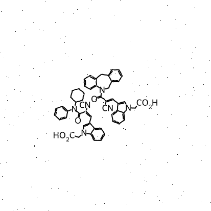 N#CC(=Cc1cn(CC(=O)O)c2ccccc12)C(=O)N(c1ccccc1)C1CCCCC1.N#CC(=Cc1cn(CC(=O)O)c2ccccc12)C(=O)N1Cc2ccccc2Cc2ccccc21